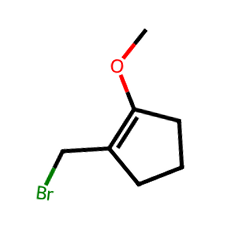 COC1=C(CBr)CCC1